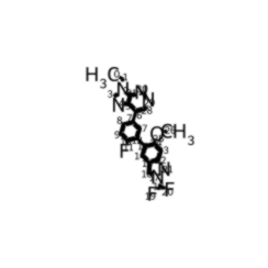 CCn1cnc2c(-c3ccc(F)c(-c4cc5cn(C(F)F)nc5cc4OC)c3)cnnc21